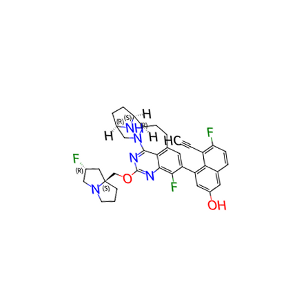 C#Cc1c(F)ccc2cc(O)cc(-c3cc4c5c(nc(OC[C@@]67CCCN6C[C@H](F)C7)nc5c3F)N3C[C@H]5CC[C@H](N5)[C@H]3CC4)c12